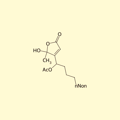 CCCCCCCCCCCCC(OC(C)=O)C1=CC(=O)OC1(C)O